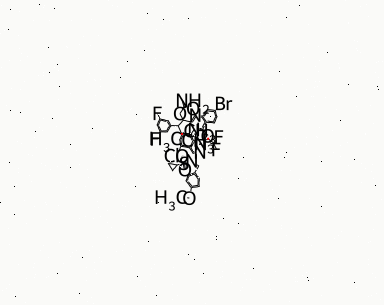 COc1ccc(CN(c2nn(CC(F)F)c3c(-n4c(C(OC(N)=O)C(c5cc(F)cc(F)c5)C(C)(C)C)nc5cc(Br)ccc5c4=O)ccc(Cl)c23)S(=O)(=O)C2CC2)cc1